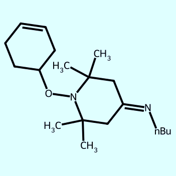 CCCCN=C1CC(C)(C)N(OC2CC=CCC2)C(C)(C)C1